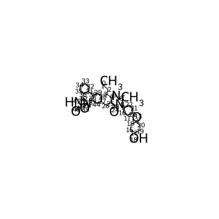 CCCCc1nc(C)n(-c2ccc(O[C@H]3CC[C@@H](O)CC3)cc2)c(=O)c1Cc1ccc(-c2ccccc2-c2noc(=O)[nH]2)cc1